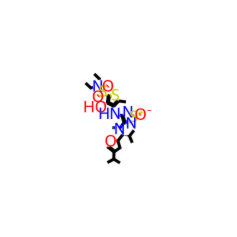 CCN(CC)S(=O)(=O)c1sc(C)c(Nc2n[s+]([O-])nc2N(C)[C@H](C(C)C)C2CC(C(C)C)=CO2)c1O